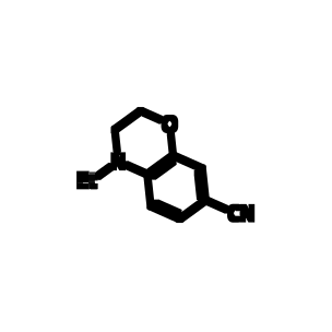 CCN1CCOc2cc(C#N)ccc21